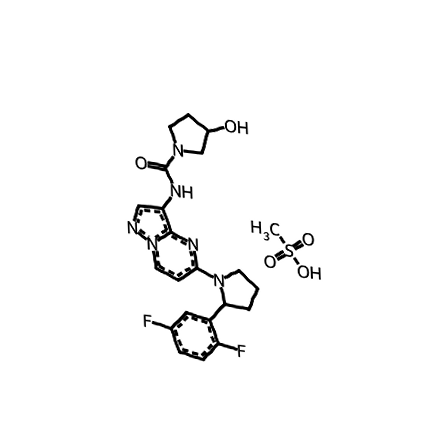 CS(=O)(=O)O.O=C(Nc1cnn2ccc(N3CCCC3c3cc(F)ccc3F)nc12)N1CCC(O)C1